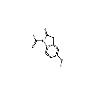 CSc1ccc2c(c1)CC(=O)N2C(C)=O